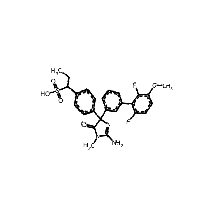 CCC(c1ccc(C2(c3cccc(-c4c(F)ccc(OC)c4F)c3)N=C(N)N(C)C2=O)cc1)S(=O)(=O)O